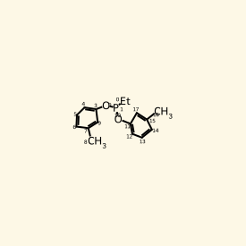 CCP(Oc1cccc(C)c1)Oc1cccc(C)c1